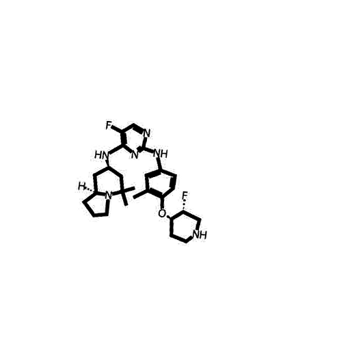 Cc1cc(Nc2ncc(F)c(N[C@@H]3C[C@@H]4CCCN4C(C)(C)C3)n2)ccc1O[C@H]1CCNC[C@H]1F